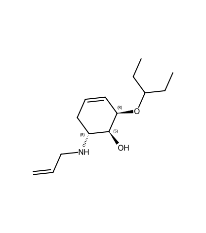 C=CCN[C@@H]1CC=C[C@@H](OC(CC)CC)[C@H]1O